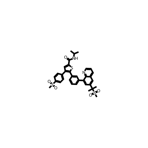 CC(C)NC(=O)c1cc(-c2ccc(S(C)(=O)=O)cc2)c(-c2cccc(-c3cc(C(C)(C)S(C)(=O)=O)cc4cccnc34)c2)s1